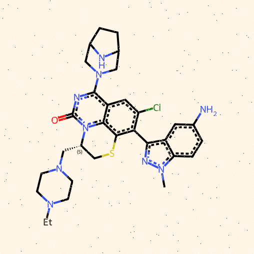 CCN1CCN(C[C@H]2CSc3c(-c4nn(C)c5ccc(N)cc45)c(Cl)cc4c(N5CC6CCC(C5)N6)nc(=O)n2c34)CC1